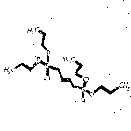 CCCO[Si](Cl)(CC=CC[Si](Cl)(OCCC)OCCC)OCCC